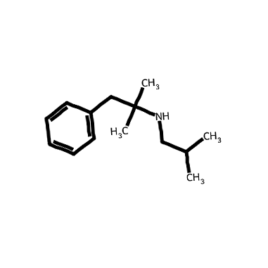 CC(C)CNC(C)(C)Cc1ccccc1